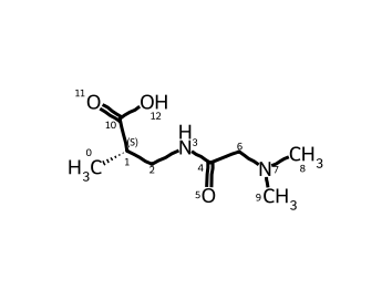 C[C@@H](CNC(=O)CN(C)C)C(=O)O